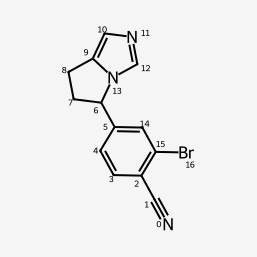 N#Cc1ccc(C2CCc3cncn32)cc1Br